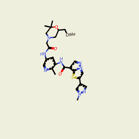 COCC1CN(CC(=O)Nc2cnc(C)c(NC(=O)c3cnn4cc(-c5cnn(C)c5)sc34)c2)CC(C)(C)O1